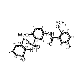 COc1ccc(NC(=O)c2cc(F)ccc2OC(F)(F)F)cc1S(=O)(=O)Nc1c(C)cccc1C